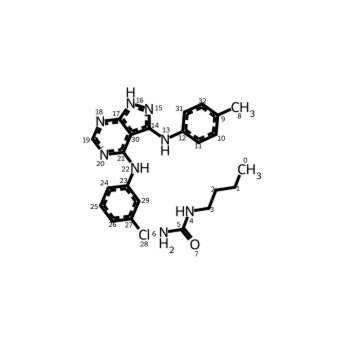 CCCCNC(N)=O.Cc1ccc(Nc2n[nH]c3ncnc(Nc4cccc(Cl)c4)c23)cc1